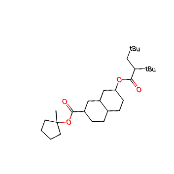 CC(C)(C)CC(C(=O)OC1CCC2CCC(C(=O)OC3(C)CCCC3)CC2C1)C(C)(C)C